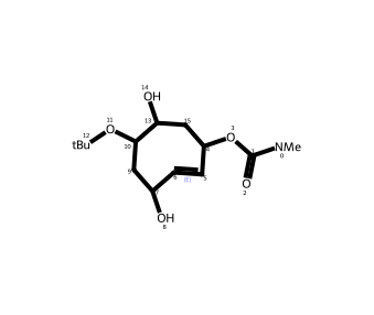 CNC(=O)OC1/C=C/C(O)CC(OC(C)(C)C)C(O)C1